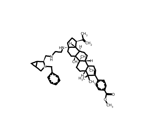 C=C(C)[C@@H]1CC[C@]2(NCCNC[C@@H]3C4CC4CN3Cc3ccccc3)CC[C@]3(C)[C@H](CC[C@@H]4[C@@]5(C)CC=C(c6ccc(C(=O)OC)cc6)C(C)(C)[C@@H]5CC[C@]43C)[C@@H]12